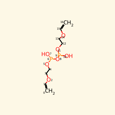 C=COCCOP(O)OP(O)OCCOC=C